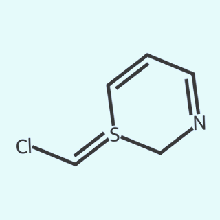 ClC=S1C=CC=NC1